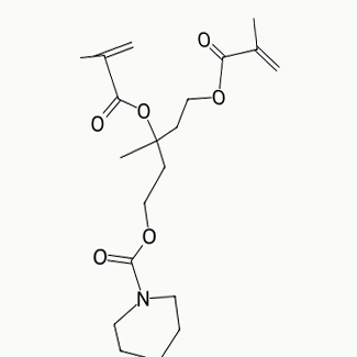 C=C(C)C(=O)OCCC(C)(CCOC(=O)N1CCCCC1)OC(=O)C(=C)C